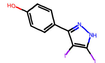 Oc1ccc(-c2n[nH]c(I)c2I)cc1